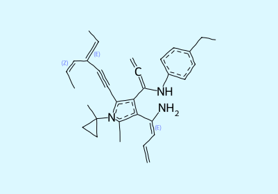 C=C=C(Nc1ccc(CC)cc1)c1c(/C(N)=C\C=C)c(C)n(C2(C)CC2)c1C#CC(/C=C\C)=C/C